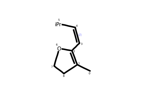 CC1=C(/C=C\C(C)C)OCC1